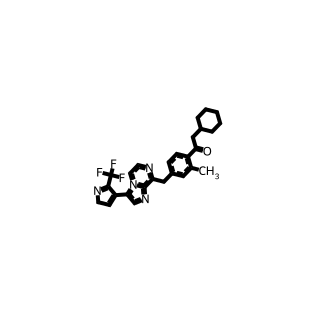 Cc1cc(Cc2nccn3c(C4=CCN=C4C(F)(F)F)cnc23)ccc1C(=O)CC1CCCCC1